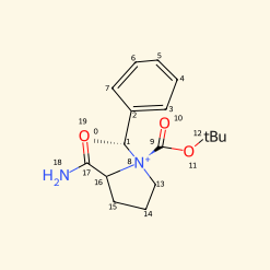 C[C@H](c1ccccc1)[N@+]1(C(=O)OC(C)(C)C)CCCC1C(N)=O